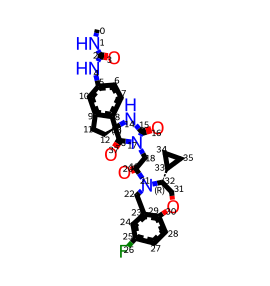 CNC(=O)Nc1ccc2c(c1)CC[C@]21NC(=O)N(CC(=O)N2Cc3cc(F)ccc3OC[C@H]2C2CC2)C1=O